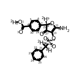 [2H]OC(=O)c1ccc([C@]2([2H])OC(N)=C(OS(=O)(=O)C([2H])([2H])c3ccccc3)C2=O)cc1